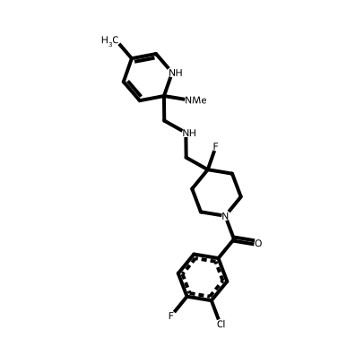 CNC1(CNCC2(F)CCN(C(=O)c3ccc(F)c(Cl)c3)CC2)C=CC(C)=CN1